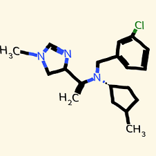 C=C(C1CN(C)C=N1)N(Cc1cccc(Cl)c1)[C@@H]1CCC(C)C1